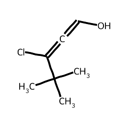 CC(C)(C)C(Cl)=C=CO